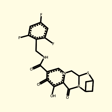 O=C(NCc1c(F)cc(F)cc1F)c1cn2c(c(O)c1=O)C(=O)N1C3CC(C3)SC1C2